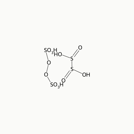 O=S(=O)(O)OOS(=O)(=O)O.O=S(O)S(=O)O